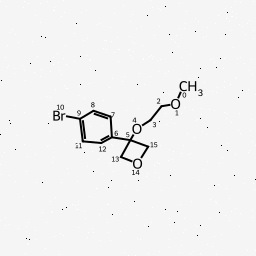 COCCOC1(c2ccc(Br)cc2)COC1